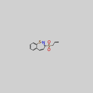 C=CCS(=O)(=O)C1=NSc2ccccc2C=C1